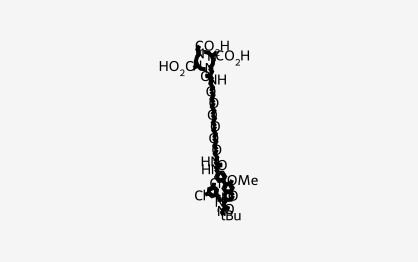 COc1cc2c(cc1-c1ccc(NC(=O)NCCOCCOCCOCCOCCOCCOCCNC(=O)CN3CCN(CC(=O)O)CCN(CC(=O)O)CCN(CC(=O)O)CC3)cc1)-c1c(c(C(=O)N(C)C(C)(C)C)nn1-c1cc(Cl)cc(Cl)c1)CO2